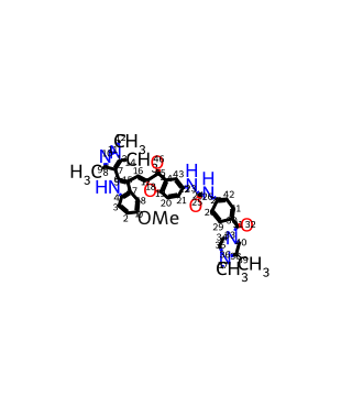 COc1ccc2[nH]c(-c3c(C)nn(C)c3C)c(C=C3Oc4ccc(NC(=O)Nc5ccc(C(=O)N6CCN(C)C(C)C6)cc5)cc4C3=O)c2c1